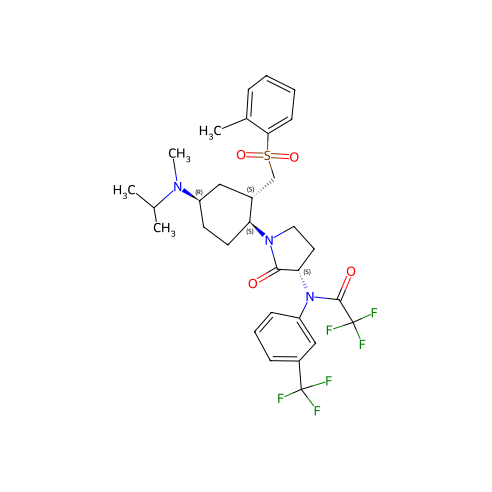 Cc1ccccc1S(=O)(=O)C[C@H]1C[C@H](N(C)C(C)C)CC[C@@H]1N1CC[C@H](N(C(=O)C(F)(F)F)c2cccc(C(F)(F)F)c2)C1=O